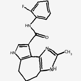 Cc1nc2c([nH]1)CCCc1[nH]cc(C(=O)Nc3ccccc3F)c1-2